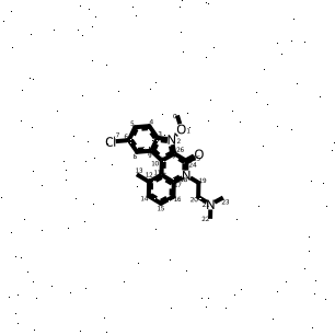 COn1c2ccc(Cl)cc2c2c3c(C)cccc3n(CCN(C)C)c(=O)c21